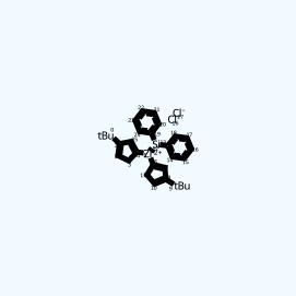 CC(C)(C)C1=CC[C]([Zr+2]([C]2=CC(C(C)(C)C)=CC2)=[Si](c2ccccc2)c2ccccc2)=C1.[Cl-].[Cl-]